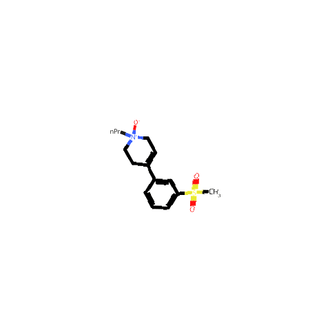 CCC[N+]1([O-])CC=C(c2cccc(S(C)(=O)=O)c2)CC1